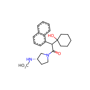 O=C(O)N[C@H]1CCN(C(=O)C(c2cccc3ccccc23)C2(O)CCCCC2)C1